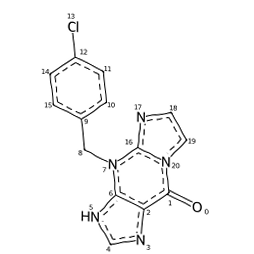 O=c1c2nc[nH]c2n(Cc2ccc(Cl)cc2)c2nccn12